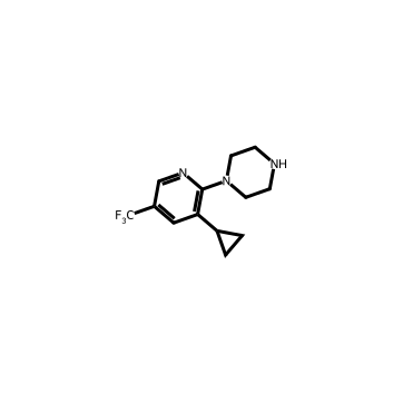 FC(F)(F)c1cnc(N2CCNCC2)c(C2CC2)c1